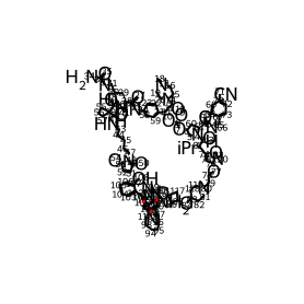 CC(C)C(C(=O)N1C[C@H](OC(=O)OC(C(=O)N2CCN(C)CC2)c2ccc(NC(=O)[C@H](CCCNC(N)=O)NC(=O)C3(C(=O)NCCCCCN4C(=O)C=CC4=O)CCC3)cc2)C[C@H]1C(=O)N[C@@H](C)c1ccc(C#N)cc1)c1cc(OCCN2CCC(O[C@H]3C[C@H](Oc4cc(N5C6CCC5CN(c5cc(-c7ccccc7O)nnc5N)C6)ccn4)C3)CC2)no1